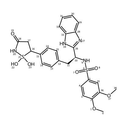 COc1ccc(S(=O)(=O)N[C@@H](Cc2ccc(C3CC(=O)NS3(O)O)cc2)c2nc3ccccc3[nH]2)cc1OC